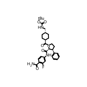 CC(C)(C)OC(=O)NC[C@H]1CC[C@H](C(=O)N2CC[C@@H](c3ccccc3)[C@H]2C(=O)Nc2ccc(C(N)=O)c(F)c2)CC1